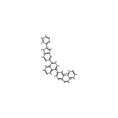 c1ccc(-c2nc3cc(-c4ccc(-c5ccc6ccc7ccccc7c6c5)c5ccccc45)ccc3s2)cc1